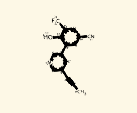 CC#Cc1cncc(-c2cc(C#N)cc(C(F)(F)F)c2O)c1